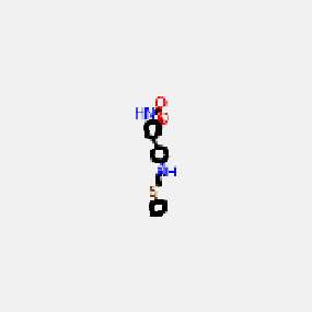 O=c1[nH]c2ccc(C3CCC(NCCSc4ccccc4)CC3)cc2o1